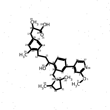 COc1cc(-c2ccc(C(O)CCc3ccc(CC(C)C(=O)O)cc3C)c(CN3C(C)CCC3C)c2)ccn1